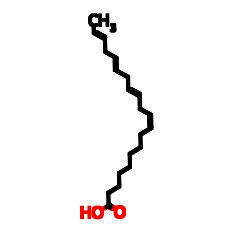 CC=CCC=CCC=CC/C=C\CCCCCCCC(=O)O